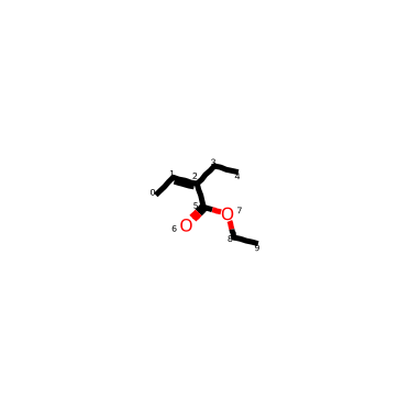 CC=C(CC)C(=O)OCC